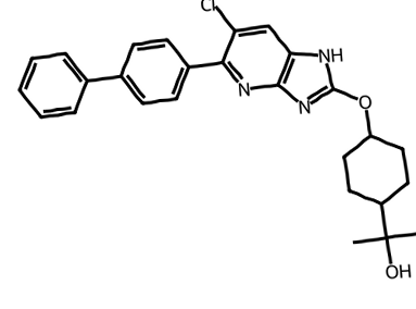 CC(C)(O)C1CCC(Oc2nc3nc(-c4ccc(-c5ccccc5)cc4)c(Cl)cc3[nH]2)CC1